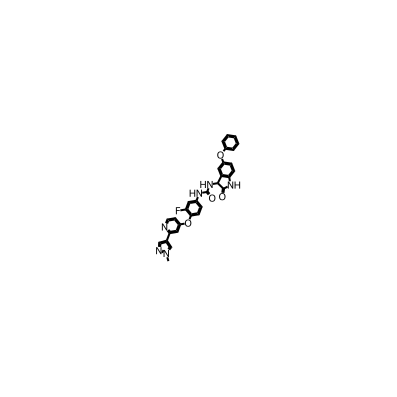 Cn1cc(-c2cc(Oc3ccc(NC(=O)NC4C(=O)Nc5ccc(Oc6ccccc6)cc54)cc3F)ccn2)cn1